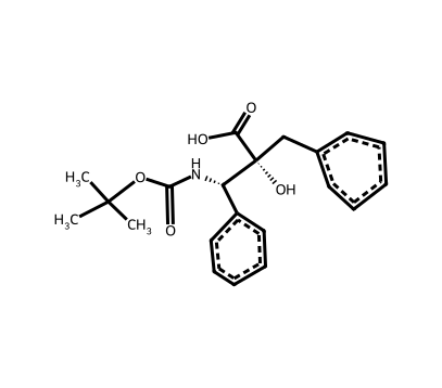 CC(C)(C)OC(=O)N[C@@H](c1ccccc1)[C@](O)(Cc1ccccc1)C(=O)O